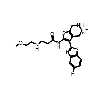 COCCNCCC(=O)Nc1sc2c(c1-c1nc3cc(F)ccc3s1)C[C@H](C)NC2